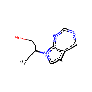 CC(CO)n1ccc2cncnc21